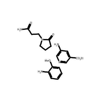 CCOC(=O)c1cncc(N)c1.COc1ccccc1N.NC(=O)CCN1CCCC1=O